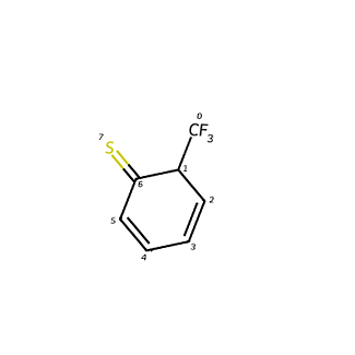 FC(F)(F)C1C=C[C]=CC1=S